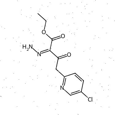 CCOC(=O)C(=NN)C(=O)Cc1ccc(Cl)cn1